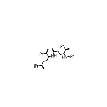 C=C(CCC(NC(C)C)C(=C)C(C)C)NC(CCC(=C)C(C)C)C(=C)C(C)C